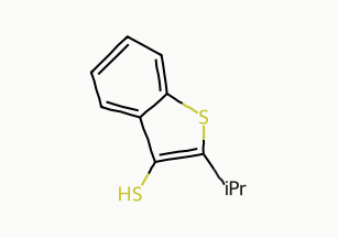 CC(C)c1sc2ccccc2c1S